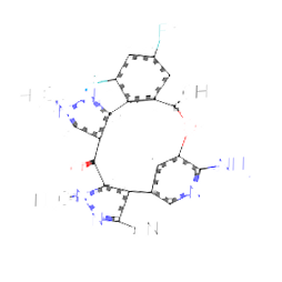 C[C@H]1Oc2cc(cnc2N)-c2c(C#N)nn(C)c2C(=O)c2cn(C)nc2-c2c(F)cc(F)cc21